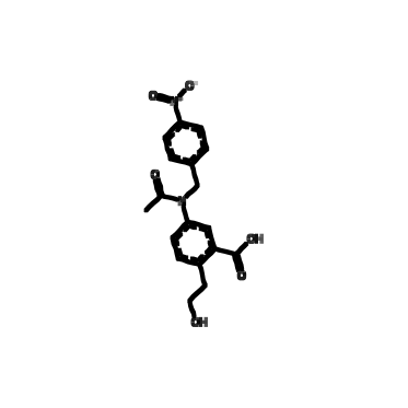 CC(=O)N(Cc1ccc([N+](=O)[O-])cc1)c1ccc(CCO)c(C(=O)O)c1